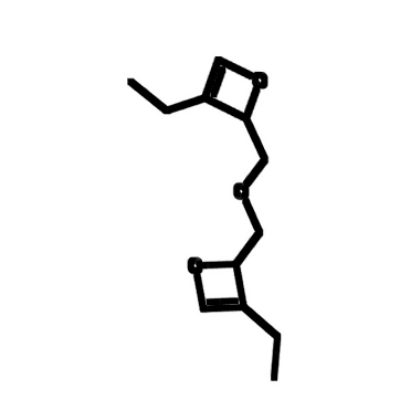 CCC1=COC1COCC1OC=C1CC